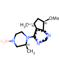 BN1CCN(c2ncnc3c2[C@H](C)C[C@H]3OC)[C@@H](C)C1